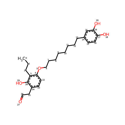 CCCc1c(OCCCCCCCCc2ccc(O)c(O)c2)ccc(CC=O)c1O